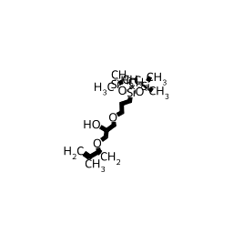 C=C(C)C(=C)OCC(O)COCCC[Si](C)(O[Si](C)(C)C)O[Si](C)(C)C